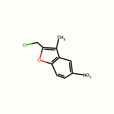 Cc1c(CCl)oc2ccc([N+](=O)[O-])cc12